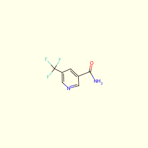 NC(=O)c1cncc(C(F)(F)F)c1